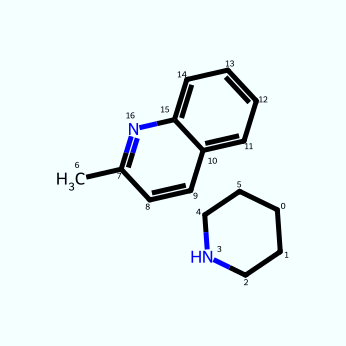 C1CCNCC1.Cc1ccc2ccccc2n1